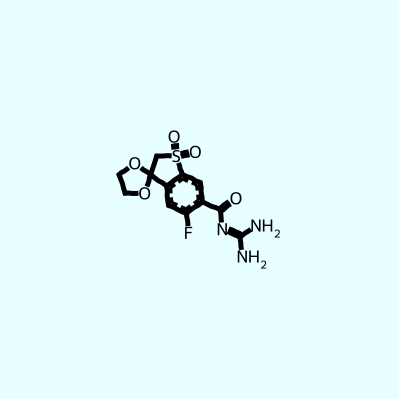 NC(N)=NC(=O)c1cc2c(cc1F)C1(CS2(=O)=O)OCCO1